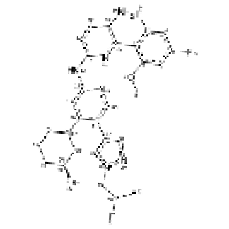 COc1cc(F)cc(F)c1-c1nc(Nc2cc(N3CCC[C@H](O)C3)c(-c3cnn(CC(F)F)c3)cn2)ccc1N